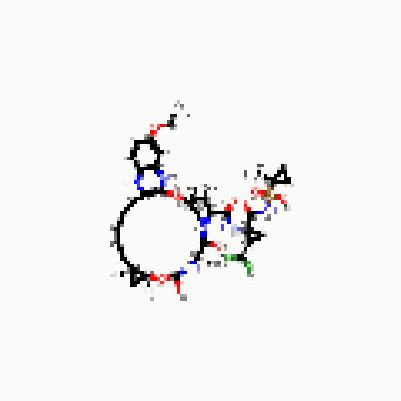 CC[C@@H]1[C@@H]2CN(C(=O)[C@H](C(C)(C)C)NC(=O)O[C@@H]3C[C@H]3CCCCCc3nc4ccc(OCC(F)(F)F)cc4nc3O2)[C@@H]1C(=O)N[C@]1(C(=O)NS(=O)(=O)C2(C)CC2)C[C@H]1C(F)F